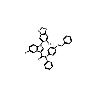 O=C(O)c1cc2c(cc1-n1cc(C(=O)N(c3ccccc3)c3ccc(OCc4ccccc4)cc3)c3cc(F)ccc31)OCO2